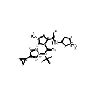 CC(C)(C)[C@H](C(=O)N1C[C@H](O)C[C@H]1C(=O)NC1CC[S+]([O-])C1)n1cc(C2CC2)nn1